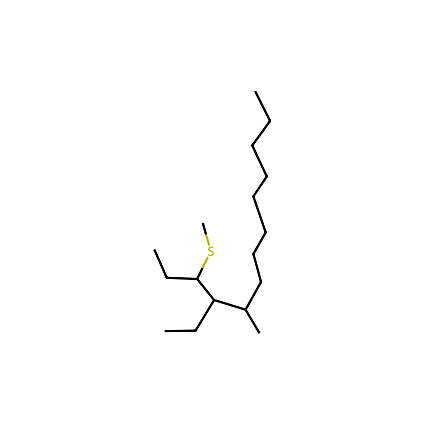 CCCCCCCCC(C)C(CC)C(CC)SC